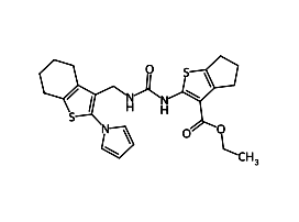 CCOC(=O)c1c(NC(=O)NCc2c(-n3cccc3)sc3c2CCCC3)sc2c1CCC2